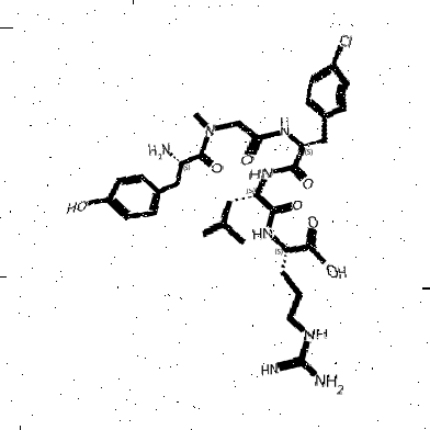 CC(C)C[C@H](NC(=O)[C@H](Cc1ccc(Cl)cc1)NC(=O)CN(C)C(=O)[C@@H](N)Cc1ccc(O)cc1)C(=O)N[C@@H](CCCNC(=N)N)C(=O)O